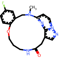 CN1Cc2cc(F)ccc2OCCCNC(=O)Cc2cnn3ccc1nc23